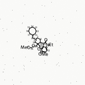 CCn1c(=O)n(C2CCN(CC3CCCCCCC3)CC2(COCOC)COCOC)c2ccccc21